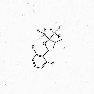 CC(C)C(OCc1c(F)cccc1F)(C(F)(F)F)C(F)(F)F